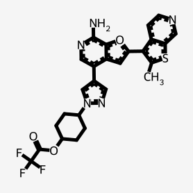 Cc1sc2cnccc2c1-c1cc2c(-c3cnn(C4CCC(OC(=O)C(F)(F)F)CC4)c3)cnc(N)c2o1